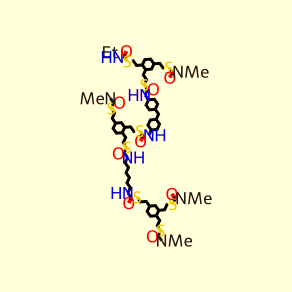 CCNC(=O)SCCC1CCC(CCSC(=O)NC)CC1CCSC(=O)NC1CCC(CC2CCC(NC(=O)SCCC3CC(CCSC(=O)NC)CCC3CCSC(=O)NCCCCCCNC(=O)SCCC3CCC(CCSC(=O)NC)C(CCSC(=O)NC)C3)CC2)CC1